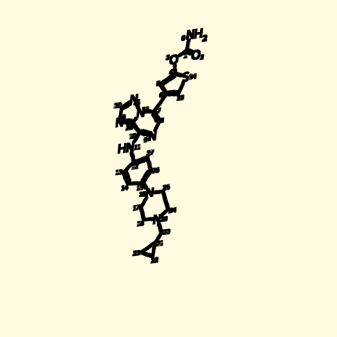 NC(=O)Oc1cc(-c2cnc(Nc3ccc(N4CCN(CC5CC5)CC4)cc3)c3ncnn23)cs1